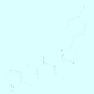 O=C(Nc1ccc2[nH]ccc2c1)c1cc(-c2ccc(Cl)cc2)on1